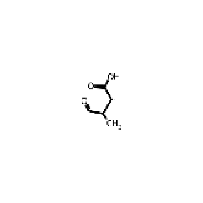 CC([CH]C(=O)O)C=O